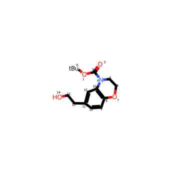 CC(C)(C)OC(=O)N1CCOc2ccc(CCO)cc21